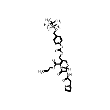 C=CCOC(=O)C1=C(COC(=O)Oc2ccc(CO[Si](C)(C)C(C)(C)C)cc2)CS[C@@H]2[C@H](NC(=O)Cc3cccs3)C(=O)N12